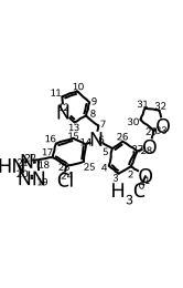 COc1ccc(N(Cc2cccnc2)c2ccc(-c3nn[nH]n3)c(Cl)c2)cc1OC1CCCO1